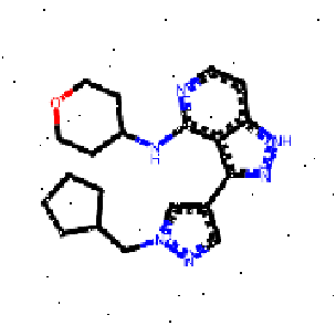 c1cc2[nH]nc(-c3cnn(CC4CCCC4)c3)c2c(NC2CCOCC2)n1